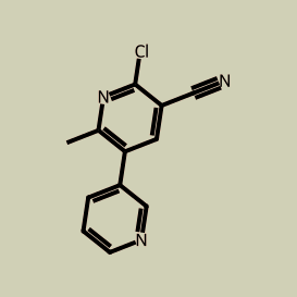 Cc1nc(Cl)c(C#N)cc1-c1cccnc1